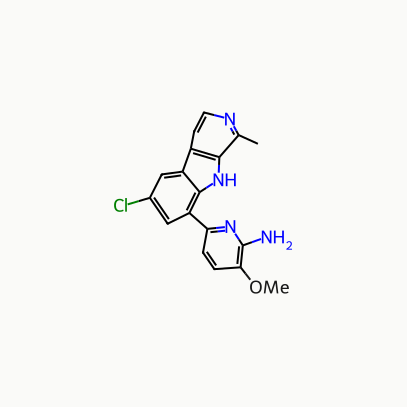 COc1ccc(-c2cc(Cl)cc3c2[nH]c2c(C)nccc23)nc1N